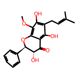 COc1c(O)c(CC=C(C)C)c(O)c2c1O[C@H](c1ccccc1)[C@@H](O)C2=O